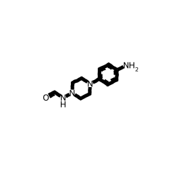 Nc1ccc(N2CCN(NC=O)CC2)cc1